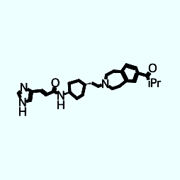 CC(C)C(=O)c1ccc2c(c1)CCN(CC[C@H]1CC[C@H](NC(=O)C=Cc3c[nH]cn3)CC1)CC2